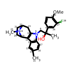 COc1ccc(C(C)(O)Cn2c3c(c4cc(C)ccc42)C2CCC(C3)N2C)cc1F